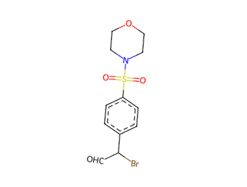 O=CC(Br)c1ccc(S(=O)(=O)N2CCOCC2)cc1